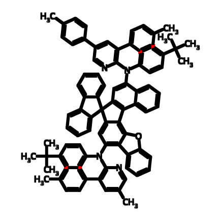 Cc1ccc(-c2cnc(N(c3ccc(C(C)(C)C)cc3)c3cc4c(c5ccccc35)-c3c(cc(N(c5ccc(C(C)(C)C)cc5)c5ncc(C)cc5-c5ccc(C)cc5)c5c3oc3ccccc35)C43c4ccccc4-c4ccccc43)c(-c3ccc(C)cc3)c2)cc1